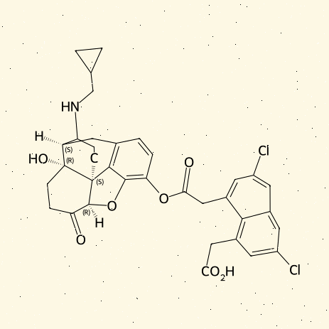 O=C(O)Cc1cc(Cl)cc2cc(Cl)cc(CC(=O)Oc3ccc4c5c3O[C@H]3C(=O)CC[C@@]6(O)[C@@H](C4)C(NCC4CC4)CC[C@]536)c12